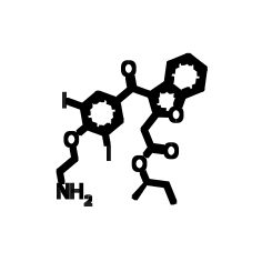 CC[C@@H](C)OC(=O)Cc1oc2ccccc2c1C(=O)c1cc(I)c(OCCN)c(I)c1